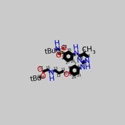 Cc1cnc(Nc2ccc(OCCCNCC(=O)OC(C)(C)C)cc2)nc1Nc1cccc(S(=O)(=O)NC(C)(C)C)c1